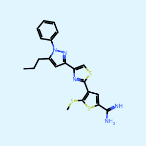 CCCc1cc(-c2csc(-c3cc(C(=N)N)sc3SC)n2)nn1-c1ccccc1